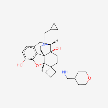 Oc1ccc2c3c1O[C@H]1[C@@]4(CC[C@H]4NCC4CCOCC4)CC[C@@]4(O)[C@@H](C2)N(CC2CC2)CC[C@]314